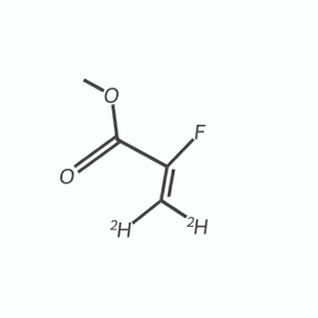 [2H]C([2H])=C(F)C(=O)OC